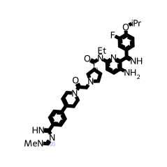 CCN(C(=O)[C@@H]1CCN(CC(=O)N2CC=C(c3ccc(C(=N)/N=C\NC)cc3)CC2)C1)c1ccc(N)c(C(=N)c2ccc(OC(C)C)c(F)c2)n1